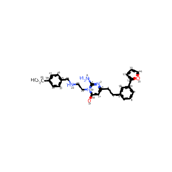 Nc1nc(CCc2cccc(-c3ccco3)c2)cc(=O)n1CCNCc1ccc(C(=O)O)cc1